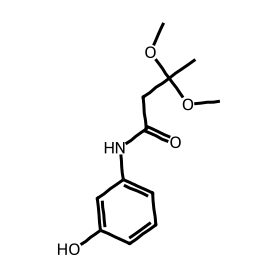 COC(C)(CC(=O)Nc1cccc(O)c1)OC